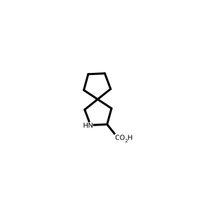 O=C(O)C1CC2(CCCC2)CN1